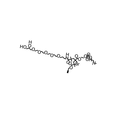 C#CCOC(=O)C(C)(Br)CC(C)(CC(C)(C)C(=O)NCCCOCCOCCOCCOCCOCC(O)CO)C(=O)OCCOP(=O)(O)OCCN(C)C